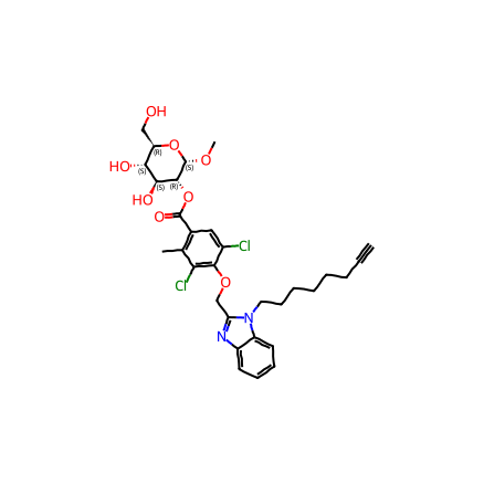 C#CCCCCCCn1c(COc2c(Cl)cc(C(=O)O[C@H]3[C@@H](OC)O[C@H](CO)[C@@H](O)[C@@H]3O)c(C)c2Cl)nc2ccccc21